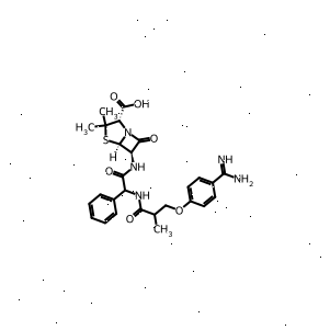 CC(COc1ccc(C(=N)N)cc1)C(=O)NC(C(=O)N[C@@H]1C(=O)N2[C@@H]1SC(C)(C)[C@@H]2C(=O)O)c1ccccc1